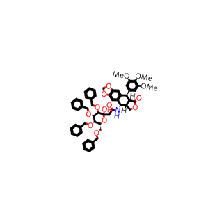 COc1cc([C@@H]2c3cc4c(cc3[C@@H](NC(=O)C[C@]3(O)O[C@H](COCc5ccccc5)[C@H](OCc5ccccc5)[C@H](OCc5ccccc5)[C@H]3OCc3ccccc3)[C@H]3COC(=O)[C@H]23)OCO4)cc(OC)c1OC